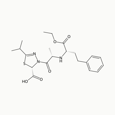 CCOC(=O)[C@H](CCc1ccccc1)N[C@@H](C)C(=O)N1N=C(C(C)C)S[C@H]1C(=O)O